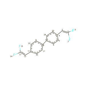 FC(F)=Cc1ccc(-c2ccc(C=C(F)F)cc2)cc1